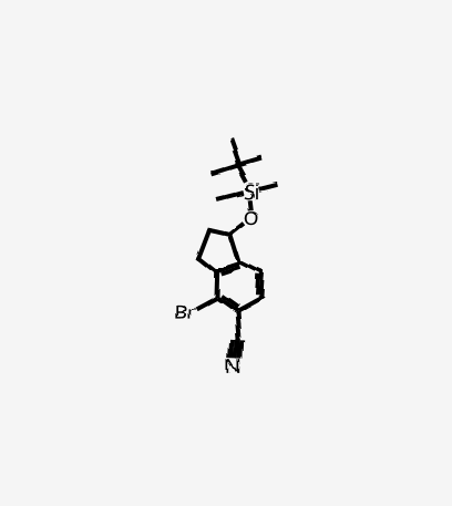 CC(C)(C)[Si](C)(C)OC1CCc2c1ccc(C#N)c2Br